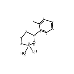 Cc1ccccc1C1CCC[Si](O)(O)O1